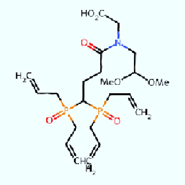 C=CCP(=O)(CC=C)C(CCC(=O)N(CC(=O)O)CC(OC)OC)P(=O)(CC=C)CC=C